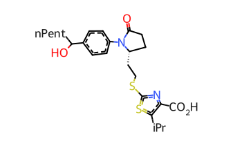 CCCCCC(O)c1ccc(N2C(=O)CC[C@@H]2CCSc2nc(C(=O)O)c(C(C)C)s2)cc1